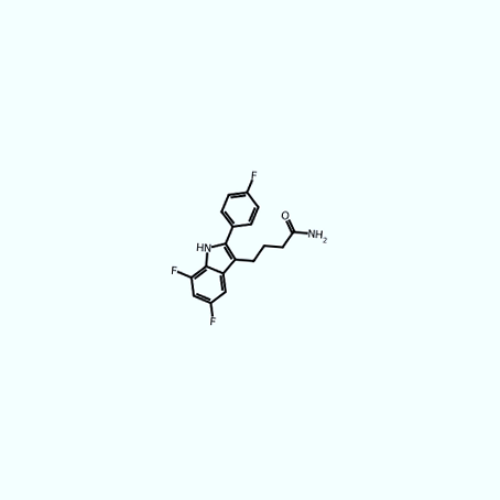 NC(=O)CCCc1c(-c2ccc(F)cc2)[nH]c2c(F)cc(F)cc12